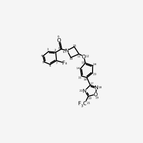 O=C(c1ccccc1F)N1CC(Oc2ccc(-c3noc(C(F)(F)F)n3)cc2)C1